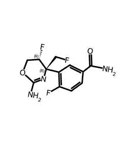 NC(=O)c1ccc(F)c([C@]2(CF)N=C(N)OC[C@@H]2F)c1